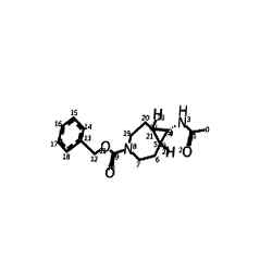 CC(=O)N[C@@H]1[C@@H]2CCN(C(=O)OCc3ccccc3)CC[C@@H]21